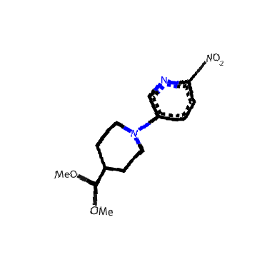 COC(OC)C1CCN(c2ccc([N+](=O)[O-])nc2)CC1